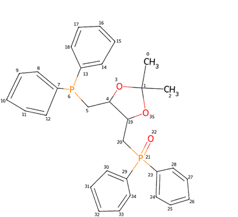 CC1(C)OC(CP(c2ccccc2)c2ccccc2)C(CP(=O)(c2ccccc2)c2ccccc2)O1